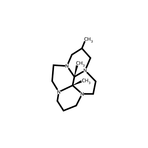 CC1CN2CCN3CCCN4CCN(C1)[C@]2(C)[C@]43C